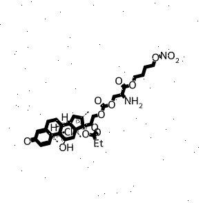 CCC(=O)O[C@@]1(C(=O)COC(=O)OCC(N)C(=O)OCCCCO[N+](=O)[O-])[C@@H](C)C[C@H]2[C@@H]3CCC4=CC(=O)C=C[C@]4(C)[C@@]3(Cl)[C@@H](O)C[C@@]21C